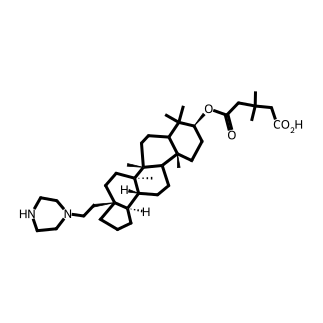 CC(C)(CC(=O)O)CC(=O)O[C@H]1CC[C@@]2(C)C(CC[C@]3(C)C2CC[C@@H]2[C@H]4CCC[C@]4(CCN4CCNCC4)CC[C@]23C)C1(C)C